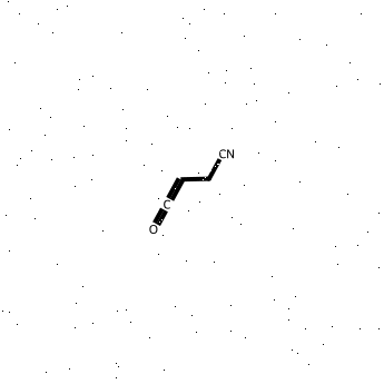 N#CCC=C=O